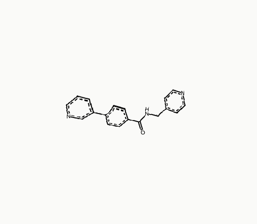 O=C(NCc1ccncc1)c1ccc(-c2cccnc2)cc1